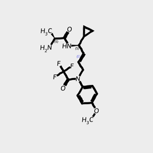 COc1ccc(N(C/C=C/[C@@H](NC(=O)[C@H](C)N)C2CC2)C(=O)C(F)(F)F)cc1